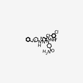 NC(=O)C1CCC(n2c(Nc3c(F)cc(Cl)cc3Cl)nc3cnc(N[C@@H]4CCCN(Cc5ccccc5)C4)nc32)CC1